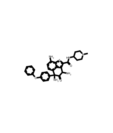 CN1CCC(NC(=O)c2sc3c(N)ccc4c3c2C(N)C(=O)C4(N)c2ccc(Oc3ccccc3)cc2)CC1